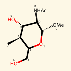 CO[C@@H]1OC(CO)[C@@H](C)[C@H](O)C1NC(C)=O